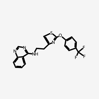 FC(F)(F)c1ccc(Oc2nc(CCNc3ncnc4ccccc34)cs2)cc1